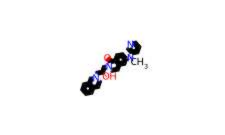 CN(c1cccnc1)c1ccc2c(c1)CCN(C[C@H](O)CN1CCc3ccccc3C1)C2=O